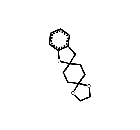 c1ccc2c(c1)CC1(CCC3(CC1)OCCO3)O2